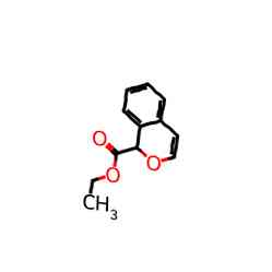 CCOC(=O)C1OC=Cc2ccccc21